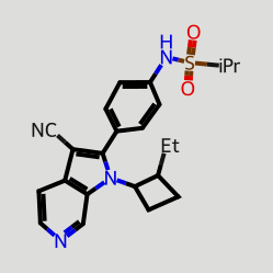 CCC1CCC1n1c(-c2ccc(NS(=O)(=O)C(C)C)cc2)c(C#N)c2ccncc21